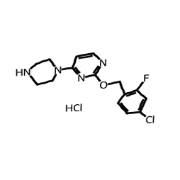 Cl.Fc1cc(Cl)ccc1COc1nccc(N2CCNCC2)n1